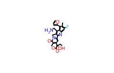 CC[C@@]1(O)C(=O)OCc2c1cc1n(c2=O)Cc2c-1nc1cc(F)c(C)c(-c3ccco3)c1c2CN